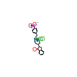 Cl.Cl.O=C1c2ccccc2CC1C1CCN(CCc2ccc([N+](=O)[O-])cc2)CC1